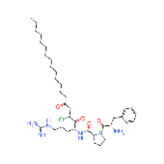 CCCCCCCCCCCCCCC(=O)CC(Cl)C(=O)[C@H](CCCNC(=N)N)NC(=O)[C@@H]1CCCN1C(=O)[C@@H](N)Cc1ccccc1